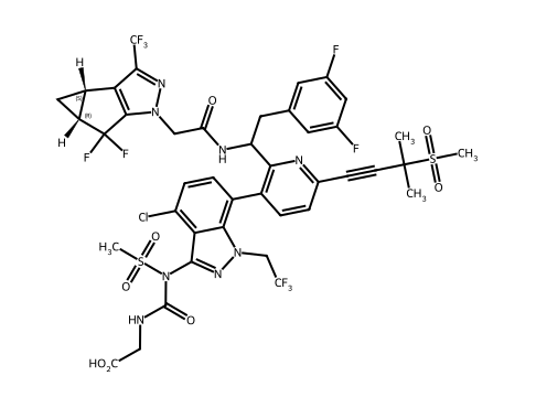 CC(C)(C#Cc1ccc(-c2ccc(Cl)c3c(N(C(=O)NCC(=O)O)S(C)(=O)=O)nn(CC(F)(F)F)c23)c(C(Cc2cc(F)cc(F)c2)NC(=O)Cn2nc(C(F)(F)F)c3c2C(F)(F)[C@@H]2C[C@H]32)n1)S(C)(=O)=O